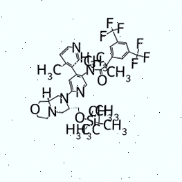 Cc1ccncc1-c1cc(N2C[C@H]3COCCN3C[C@H]2CO[Si](C)(C)C(C)(C)C)ncc1N(C)C(=O)C(C)(C)c1cc(C(F)(F)F)cc(C(F)(F)F)c1